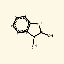 OC1Oc2[c]cccc2N1O